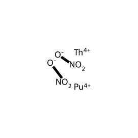 O=[N+]([O-])[O-].O=[N+]([O-])[O-].[Pu+4].[Th+4]